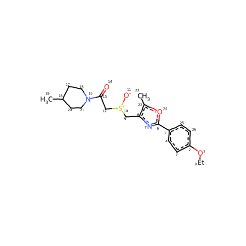 CCOc1ccc(-c2nc(C[S+]([O-])CC(=O)N3CCC(C)CC3)c(C)o2)cc1